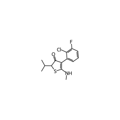 CNC1=C(c2cccc(F)c2Cl)C(=O)C(C(C)C)S1